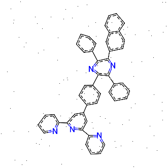 c1ccc(-c2nc(-c3ccc4ccccc4c3)c(-c3ccccc3)nc2-c2ccc(-c3cc(-c4ccccn4)nc(-c4ccccn4)c3)cc2)cc1